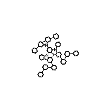 c1ccc(-c2cccc(-c3ccccc3-c3ccc4c(c3)B3c5c(cc(-n6c7cc(-c8ccccc8)ccc7c7ccc(-c8ccccc8)cc76)cc5-n5c6ccccc6c6cc(-c7ccccc7-c7cccc(-c8ccccc8)c7)cc3c65)N4c3ccccc3)c2)cc1